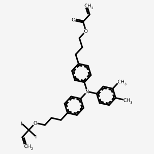 C=CC(=O)OCCCc1ccc(N(c2ccc(CCCOC(I)(I)C=C)cc2)c2ccc(C)c(C)c2)cc1